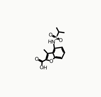 Cc1c(C(=O)O)oc2cccc(NS(=O)(=O)C(C)C)c12